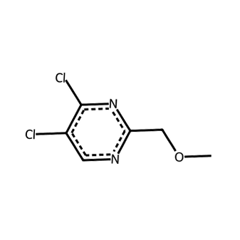 COCc1ncc(Cl)c(Cl)n1